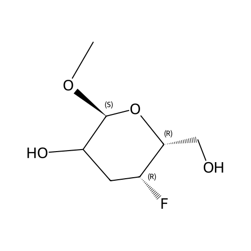 CO[C@H]1O[C@H](CO)[C@H](F)CC1O